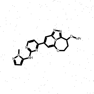 CCCOC1CCOc2cc(-c3ccnc(Nc4ccnn4C)n3)cc3nnc1n23